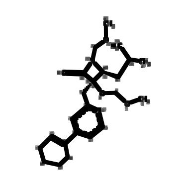 COCO[C@@]1(Cc2cc(C3=CCCCC3)ccn2)C(=O)N(COC)[C@H]1CC(C)C